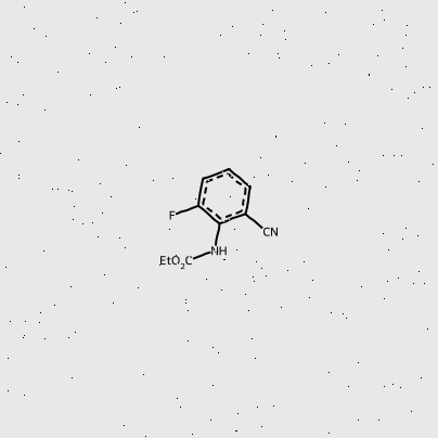 CCOC(=O)Nc1c(F)cccc1C#N